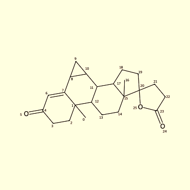 CC12CCC(=O)C=C1C1CC1C1C2CCC2(C)C1CCC21CCC(=O)O1